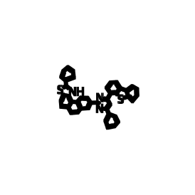 c1ccc(-c2cc(-c3cccc4c3sc3ccccc34)nc(-c3ccc4c(ccc5ccc6c(c54)NC(c4ccccc4)S6)c3)n2)cc1